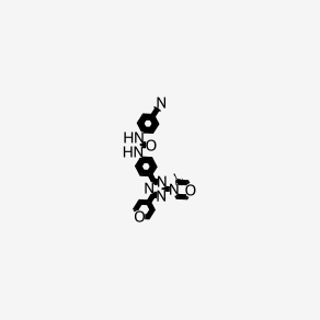 C[C@@H]1COCCN1c1nc(-c2ccc(NC(=O)Nc3ccc(C#N)cc3)cc2)nc(C2CCOCC2)n1